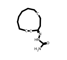 NC(=O)NN=C1CCCCCCCCCCC1